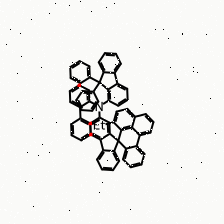 CCc1ccc2cccc3c2c1C1(c2ccccc2-c2ccc(N(c4ccccc4-c4ccccc4)c4cccc5c4C(c4ccccc4)(c4ccccc4)c4ccccc4-5)cc21)c1ccccc1-3